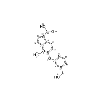 Cc1c(Oc2cc(CO)ncn2)ccc2c1ccn2C(=O)O